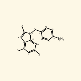 Cc1cc(C)c2nc(C)n(Cc3ccc(N)cc3)c2n1